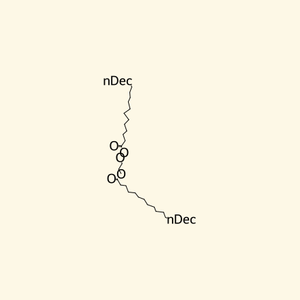 CCCCCCCCCCCCCCCCCCCCCC(=O)OCCOOC(=O)CCCCCCCCCCCCCCCCCCCCC